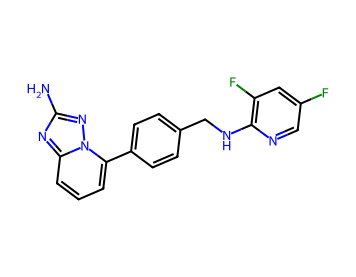 Nc1nc2cccc(-c3ccc(CNc4ncc(F)cc4F)cc3)n2n1